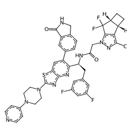 O=C(Cn1nc(C(F)(F)F)c2c1C(F)(F)[C@@H]1CC[C@H]21)N[C@@H](Cc1cc(F)cc(F)c1)c1nc2nc(N3CCN(c4ccncc4)CC3)sc2cc1-c1ccc2c(c1)C(=O)NC2